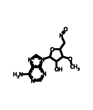 COC1C(CN=O)OC(n2cnc3c(N)ncnc32)C1O